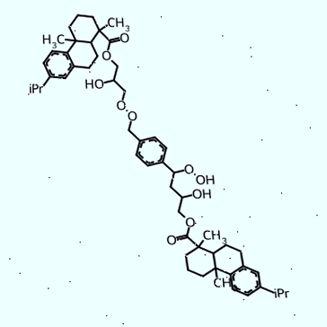 CC(C)c1ccc2c(c1)CCC1C(C)(C(=O)OCC(O)COOCc3ccc(C(CC(O)COC(=O)C4(C)CCCC5(C)c6ccc(C(C)C)cc6CCC45)OO)cc3)CCCC21C